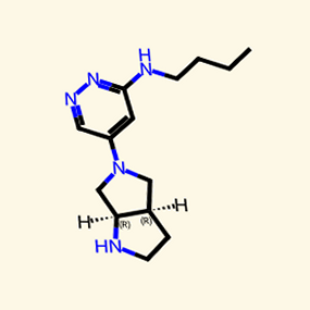 CCCCNc1cc(N2C[C@H]3CCN[C@H]3C2)cnn1